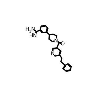 N=C(N)c1cccc(C2CCN(C(=O)c3cncc(CCc4ccccc4)c3)CC2)c1